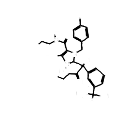 BC(C)(F)c1cccc(C(C)(C(=C)CCC)C2N(C)C(C)=C(C(=C)N(C)CCC)N2Cc2ccc(Cl)cc2)c1